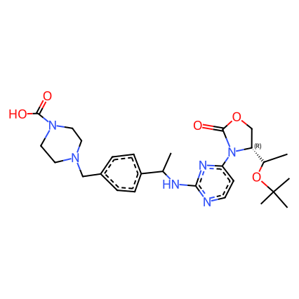 CC(Nc1nccc(N2C(=O)OC[C@@H]2C(C)OC(C)(C)C)n1)c1ccc(CN2CCN(C(=O)O)CC2)cc1